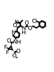 COC(=O)[C@H]1[C@H](C(=O)Nc2ccc(-c3onc(C)c3NC(=O)OCCc3ccccc3Cl)nc2)C1(F)F